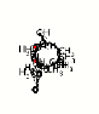 CO[C@@H]1C[C@H](C[C@@H](C)C2CC(=O)[C@H](C)/C=C(\C)[C@@H](O)[C@@H](OC)C(=O)[C@H](C)C[C@H](C)/C=C/C=C/C=C(\C)C(OCCCO)CC3CC[C@@H](C)[C@@](O)(O3)C(=O)C(=O)N3CCCC[C@H]3C(=O)O2)CC[C@H]1OCCCc1ccccc1